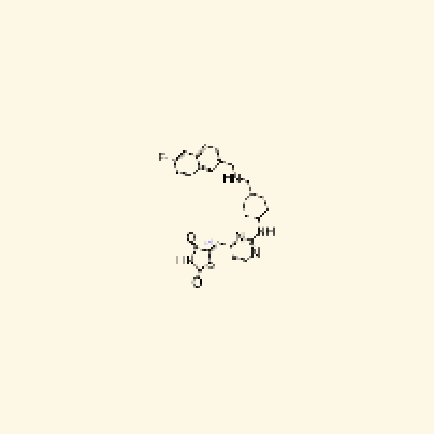 O=C1NC(=O)/C(=C/c2ccnc(NC3CCC(CNCc4ccc5cc(F)ccc5c4)CC3)n2)S1